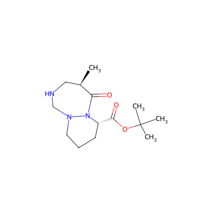 C[C@@H]1CNCN2CCC[C@@H](C(=O)OC(C)(C)C)N2C1=O